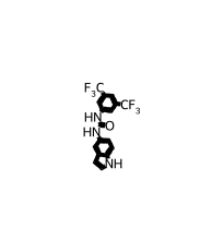 O=C(Nc1cc(C(F)(F)F)cc(C(F)(F)F)c1)Nc1ccc2[nH]ccc2c1